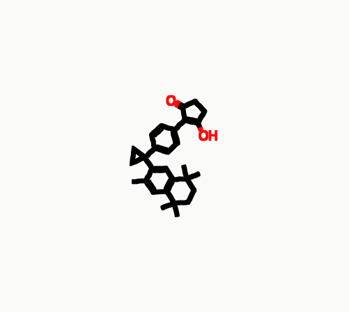 Cc1cc2c(cc1C1(c3ccc(C4=C(O)CCC4=O)cc3)CC1)C(C)(C)CCC2(C)C